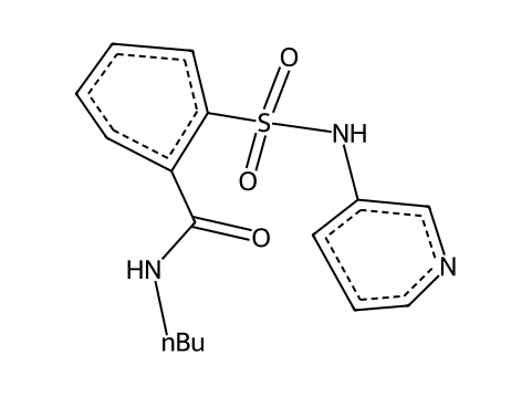 CCCCNC(=O)c1ccccc1S(=O)(=O)Nc1cccnc1